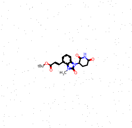 Cn1c(=O)n(C2CCC(=O)NC2=O)c2cccc(/C=C/C(=O)OC(C)(C)C)c21